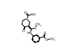 COC(=O)c1cccc(NC(SC)=C2CN(C(=O)O)CCC2=O)c1